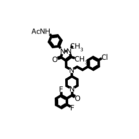 CC(=O)Nc1ccc(-n2c(=O)c(CN(CCc3ccc(Cl)cc3)C3CCN(C(=O)c4c(F)cccc4F)CC3)c(C)n2C)cc1